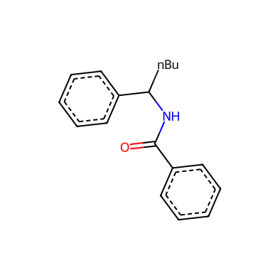 CCCCC(NC(=O)c1ccccc1)c1ccccc1